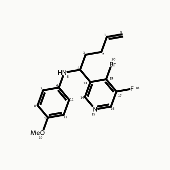 C=CCCC(Nc1ccc(OC)cc1)c1cncc(F)c1Br